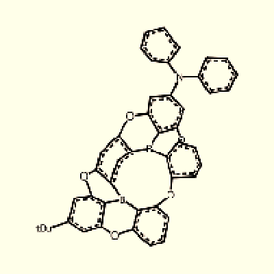 CC(C)(C)c1cc2c3c(c1)Oc1cccc4c1B3c1cc3c(cc1O2)Oc1cc(N(c2ccccc2)c2ccccc2)cc2c1B3c1c(cccc1O4)O2